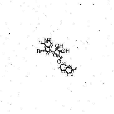 Cc1ccc2ccc(OC[C@H]3O[C@@H](n4cc(Br)c5c(C)ncnc54)[C@H](O)[C@@H]3O)cc2n1